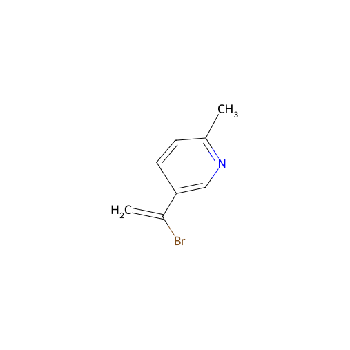 C=C(Br)c1ccc(C)nc1